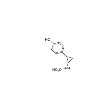 O=C(O)NC1CC1c1ccc(O)cc1